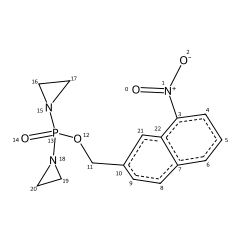 O=[N+]([O-])c1cccc2ccc(COP(=O)(N3CC3)N3CC3)cc12